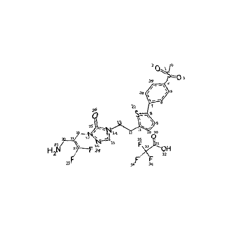 CS(=O)(=O)c1ccc(-c2ccc(CCn3cnn(CC(CN)=C(F)F)c3=O)s2)cc1.O=C(O)C(F)(F)F